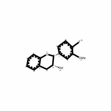 COc1cc([C@H]2Oc3ccccc3C[C@H]2O)ccc1F